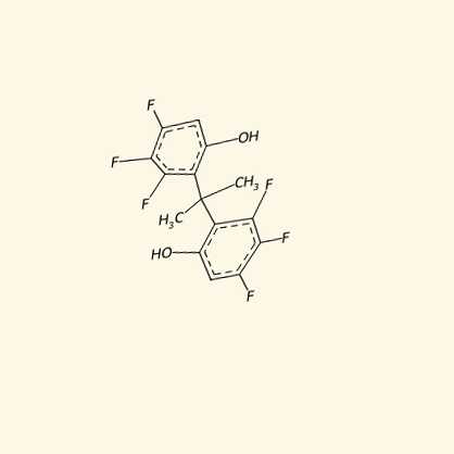 CC(C)(c1c(O)cc(F)c(F)c1F)c1c(O)cc(F)c(F)c1F